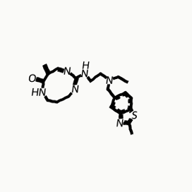 C=C1/C=N\C(NCCN(CC)Cc2ccc3sc(C)nc3c2)=N/CCCNC1=O